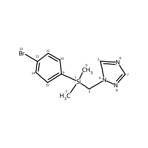 C[Si](C)(Cn1cncn1)c1ccc(Br)cc1